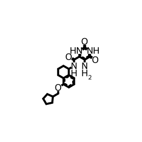 Nc1c(C(=O)NC2CCCc3c(OCC4CCCC4)cccc32)[nH]c(=O)[nH]c1=O